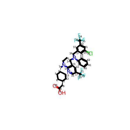 CCN(C[C@H]1CC[C@H](CC(=O)O)CC1)c1ncc(C(F)(F)F)cc1CN(Cc1cc(Cl)cc(C(F)(F)F)c1)c1ccccc1